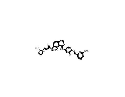 COc1cccc(COc2ccc(Nc3ncnc4ccc(NC(=O)/C=C/[C@H]5CCCN5C)c(OC)c34)cc2Cl)n1